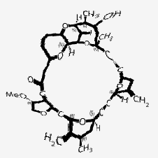 C=C1CC2CC[C@@]3(C)CC(O)[C@H](C)[C@@H]4OC5CCC(CC(=O)CC6C(C[C@H]7O[C@@H](CC[C@@H]1O2)C[C@@H](C)C7=C)OC[C@@H]6OC)O[C@@H]5C(O3)C4I